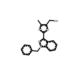 Cc1nc(-c2nn(Cc3ccccc3)c3ccccc23)oc1CO